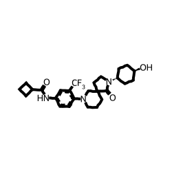 O=C(Nc1ccc(N2CCCC3(CCN([C@H]4CC[C@H](O)CC4)C3=O)C2)c(C(F)(F)F)c1)C1CCC1